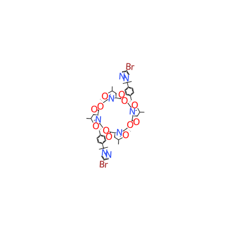 CC(C)C[C@H]1C(=O)O[C@H](Cc2ccc(C(C)(C)n3cc(Br)cn3)cc2)C(=O)N(C)[C@@H](CC(C)C)C(=O)O[C@H](C)C(=O)N(C)[C@@H](CC(C)C)C(=O)O[C@H](Cc2ccc(C(C)(C)n3cc(Br)cn3)cc2)C(=O)N(C)[C@@H](CC(C)C)C(=O)O[C@H](C)C(=O)N1C